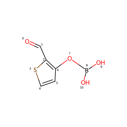 O=Cc1sccc1OB(O)O